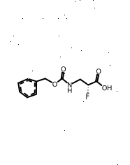 O=C(NC[C@@H](F)C(=O)O)OCc1ccccc1